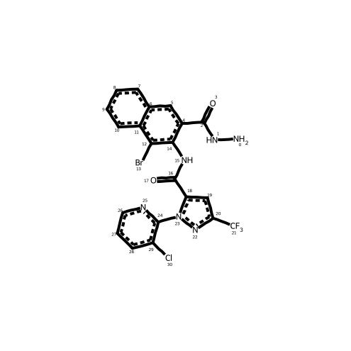 NNC(=O)c1cc2ccccc2c(Br)c1NC(=O)c1cc(C(F)(F)F)nn1-c1ncccc1Cl